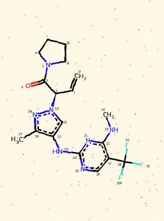 C=C[C@H](C(=O)N1CCCC1)n1cc(Nc2ncc(C(F)(F)F)c(NC)n2)c(C)n1